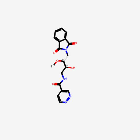 CCO[C@H](CN1C(=O)c2ccccc2C1=O)[C@@H](O)CNC(=O)c1ccnnc1